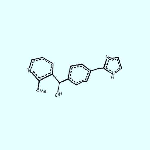 COc1ncccc1C(O)c1ccc(-c2ncc[nH]2)cc1